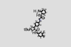 CC(C)(C)N1CC(C(=O)Nc2ccc(F)c(F)c2)C(c2ccc(/C=C/C(=O)Nc3ccccc3N)cc2)C1